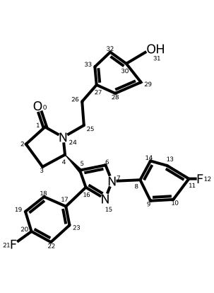 O=C1CC[C@H](c2cn(-c3ccc(F)cc3)nc2-c2ccc(F)cc2)N1CCc1ccc(O)cc1